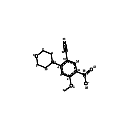 COc1cc(N2CCOCC2)c(C#N)cc1[N+](=O)[O-]